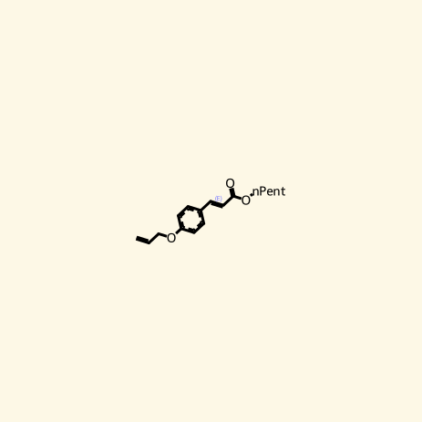 C=CCOc1ccc(/C=C/C(=O)OCCCCC)cc1